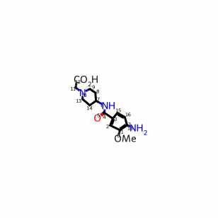 COc1cc(C(=O)NC2CCN(CC(=O)O)CC2)ccc1N